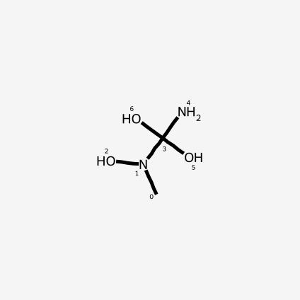 CN(O)C(N)(O)O